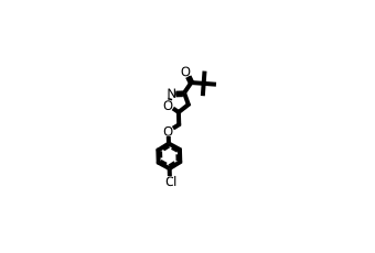 CC(C)(C)C(=O)C1=NOC(COc2ccc(Cl)cc2)C1